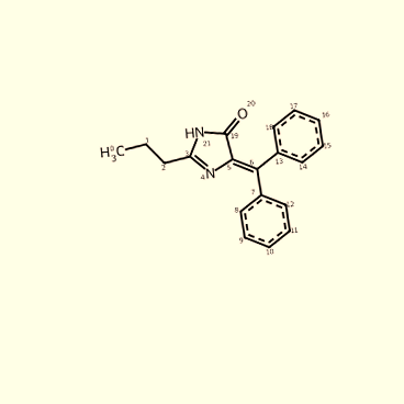 CCCC1=NC(=C(c2ccccc2)c2ccccc2)C(=O)N1